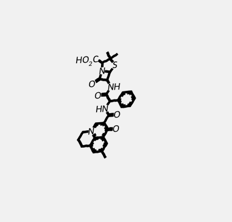 Cc1cc2c3c(c1)c(=O)c(C(=O)NC(C(=O)NC1C(=O)N4C1SC(C)(C)C4C(=O)O)c1ccccc1)cn3CCC2